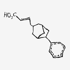 O=C(O)/C=C/C1CC2CC1CC2c1ccccc1